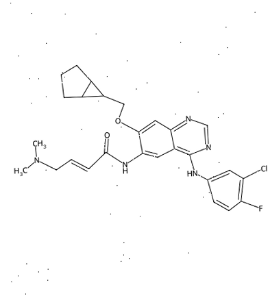 CN(C)CC=CC(=O)Nc1cc2c(Nc3ccc(F)c(Cl)c3)ncnc2cc1OCC1C2CCCC21